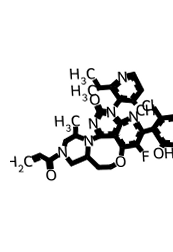 C=CC(=O)N1CC(C)N2c3nc(=O)n(-c4c(C)ccnc4C(C)C)c4nc(-c5c(O)cccc5Cl)c(F)c(c34)OCCC2C1